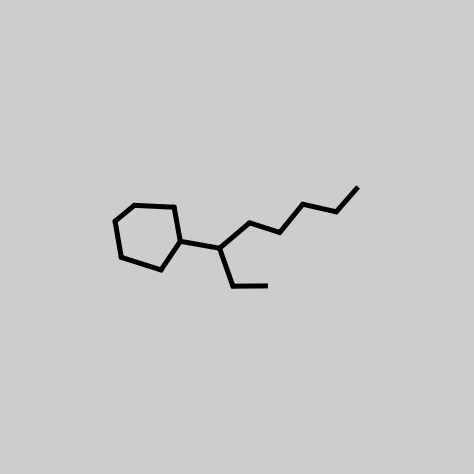 CCCCCC(CC)C1CCCCC1